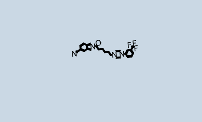 N#Cc1ccc2cn(C(=O)CCCCCN3CCN(c4cccc(C(F)(F)F)c4)CC3)cc2c1